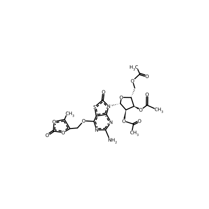 CC(=O)OC[C@H]1O[C@@H](n2c(=O)sc3c(OCc4oc(=O)oc4C)nc(N)nc32)[C@H](OC(C)=O)[C@@H]1OC(C)=O